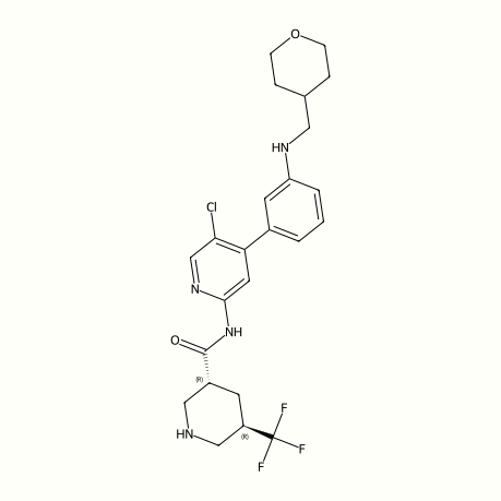 O=C(Nc1cc(-c2cccc(NCC3CCOCC3)c2)c(Cl)cn1)[C@H]1CNC[C@H](C(F)(F)F)C1